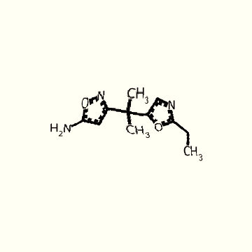 CCc1ncc(C(C)(C)c2cc(N)on2)o1